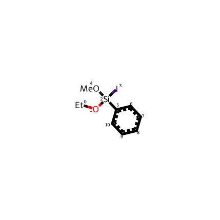 CCO[Si](I)(OC)c1ccccc1